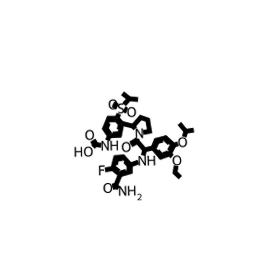 CCOc1cc(C(Nc2ccc(F)c(C(N)=O)c2)C(=O)N2CCCC2c2cc(NC(=O)O)ccc2S(=O)(=O)C(C)C)ccc1OC(C)C